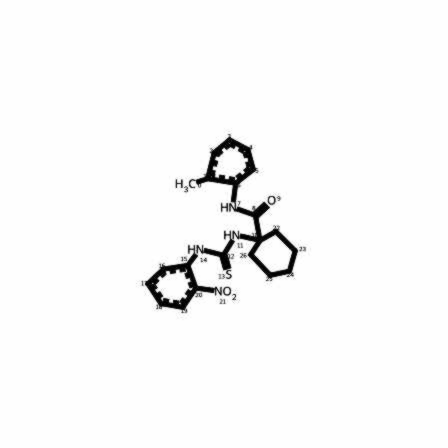 Cc1ccccc1NC(=O)C1(NC(=S)Nc2ccccc2[N+](=O)[O-])CCCCC1